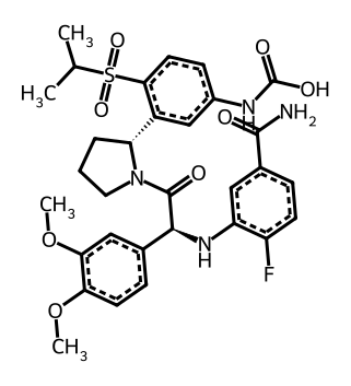 COc1ccc([C@H](Nc2cc(C(N)=O)ccc2F)C(=O)N2CCC[C@@H]2c2cc(NC(=O)O)ccc2S(=O)(=O)C(C)C)cc1OC